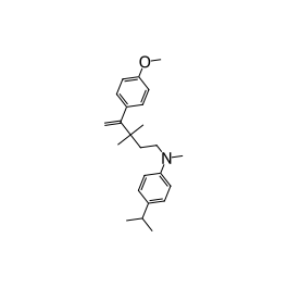 C=C(c1ccc(OC)cc1)C(C)(C)CCN(C)c1ccc(C(C)C)cc1